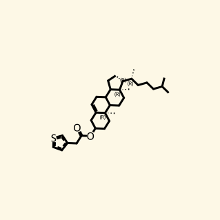 CC(C)CCC[C@@H](C)[C@H]1CCC2C3CC=C4CC(OC(=O)Cc5ccsc5)CC[C@]4(C)C3CC[C@@]21C